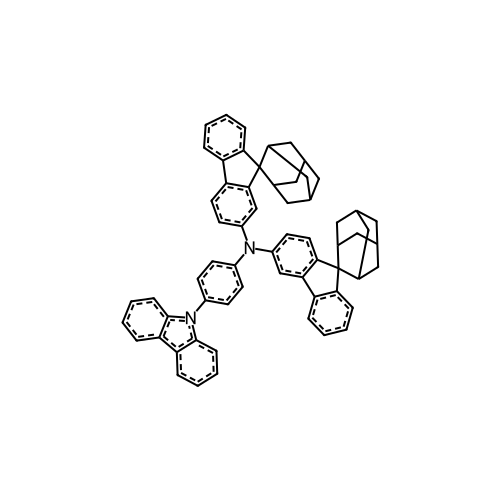 c1ccc2c(c1)-c1cc(N(c3ccc(-n4c5ccccc5c5ccccc54)cc3)c3ccc4c(c3)C3(c5ccccc5-4)C4CC5CC(C4)CC3C5)ccc1C21C2CC3CC(C2)CC1C3